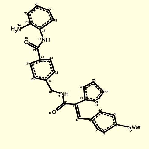 CSc1ccc(/C=C(/C(=O)NCc2ccc(C(=O)Nc3ccccc3N)cc2)c2cccs2)cc1